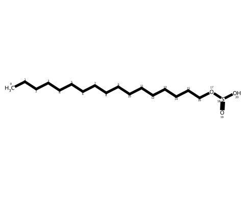 CCCCCCCCCCCCCCCCCOS(=O)O